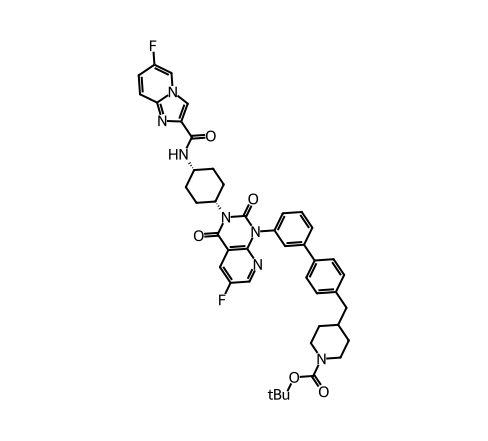 CC(C)(C)OC(=O)N1CCC(Cc2ccc(-c3cccc(-n4c(=O)n([C@H]5CC[C@@H](NC(=O)c6cn7cc(F)ccc7n6)CC5)c(=O)c5cc(F)cnc54)c3)cc2)CC1